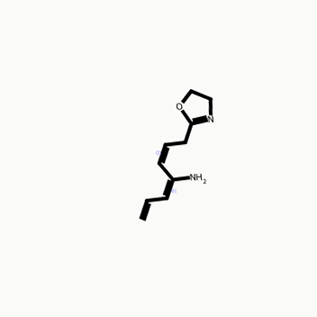 C=C/C=C(N)\C=C/CC1=NCCO1